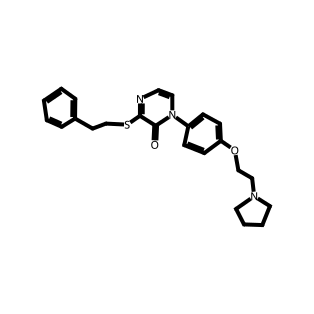 O=c1c(SCCc2ccccc2)nccn1-c1ccc(OCCN2CCCC2)cc1